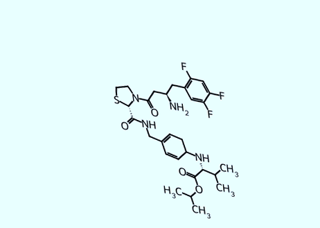 CC(C)OC(=O)[C@H](NC1C=CC(CNC(=O)[C@@H]2SCCN2C(=O)C[C@H](N)Cc2cc(F)c(F)cc2F)=CC1)C(C)C